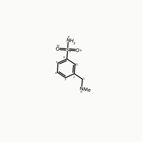 [CH2+][N-]Cc1cccc(S(N)(=O)=O)c1